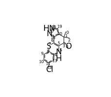 CC1(C)C(=O)C2=C(Sc3ccc(Cl)cc3N2)c2n[nH]cc21